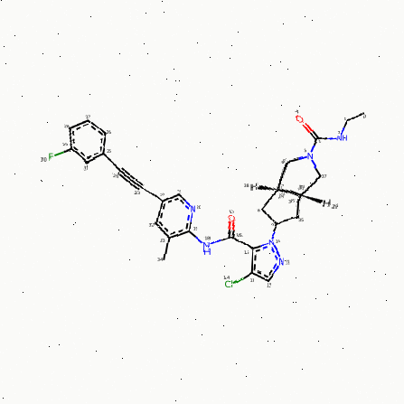 CCNC(=O)N1C[C@H]2CC(n3ncc(Cl)c3C(=O)Nc3ncc(C#Cc4cccc(F)c4)cc3C)C[C@H]2C1